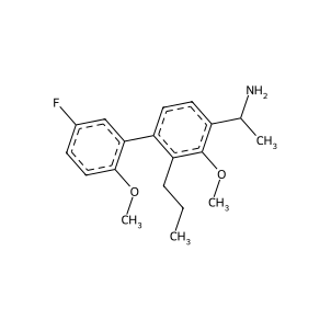 CCCc1c(-c2cc(F)ccc2OC)ccc(C(C)N)c1OC